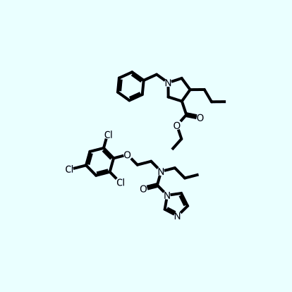 CCCC1CN(Cc2ccccc2)CC1C(=O)OCC.CCCN(CCOc1c(Cl)cc(Cl)cc1Cl)C(=O)n1ccnc1